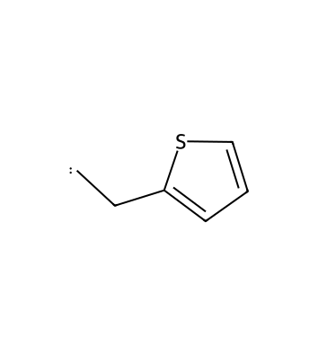 [CH]Cc1cccs1